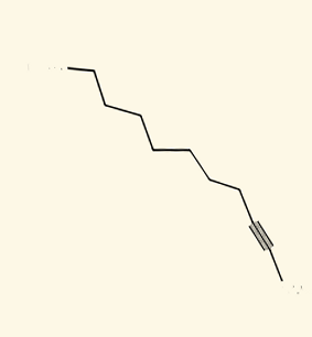 [CH2]CCCCCCCCCCCCC#CSC